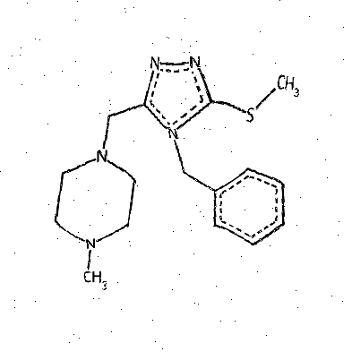 CSc1nnc(CN2CCN(C)CC2)n1Cc1ccccc1